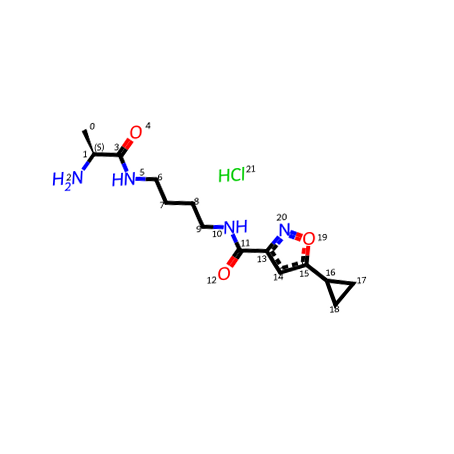 C[C@H](N)C(=O)NCCCCNC(=O)c1cc(C2CC2)on1.Cl